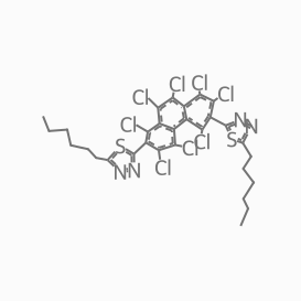 CCCCCCc1nnc(-c2c(Cl)c(Cl)c3c(c2Cl)c(Cl)c(Cl)c2c(Cl)c(Cl)c(-c4nnc(CCCCCC)s4)c(Cl)c23)s1